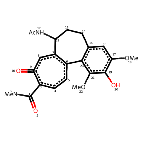 CNC(=O)c1ccc2c(cc1=O)C(NC(C)=O)CCc1cc(OC)c(O)c(OC)c1-2